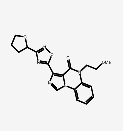 COCCn1c(=O)c2c(-c3nc(C4CCCO4)no3)ncn2c2ccccc21